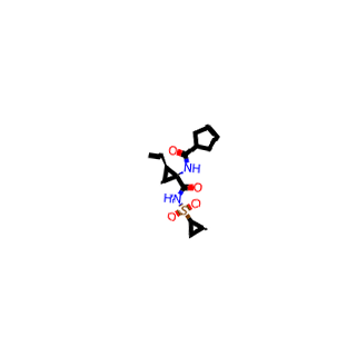 C=C[C@@H]1C[C@]1(NC(=O)C1CCCC1)C(=O)NS(=O)(=O)C1CC1